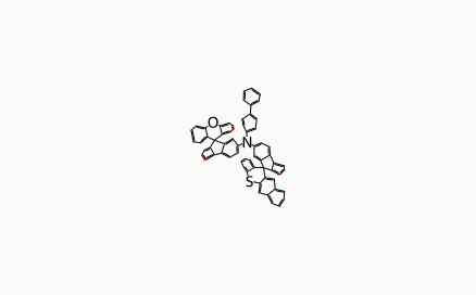 c1ccc(-c2ccc(N(c3ccc4c(c3)C3(c5ccccc5Oc5ccccc53)c3ccccc3-4)c3ccc4c(c3)C3(c5ccccc5Sc5cc6ccccc6cc53)c3ccccc3-4)cc2)cc1